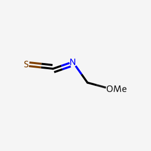 COCN=C=S